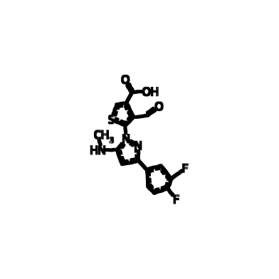 CNc1cc(-c2ccc(F)c(F)c2)nn1-c1scc(C(=O)O)c1C=O